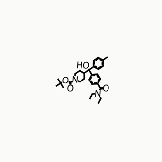 CCN(CC)C(=O)c1ccc(C(O)(c2ccc(C)cc2)C2CCN(C(=O)OC(C)(C)C)CC2)cc1